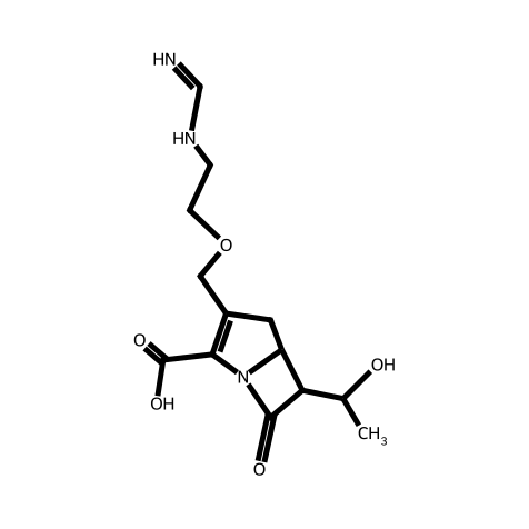 CC(O)C1C(=O)N2C(C(=O)O)=C(COCCNC=N)CC12